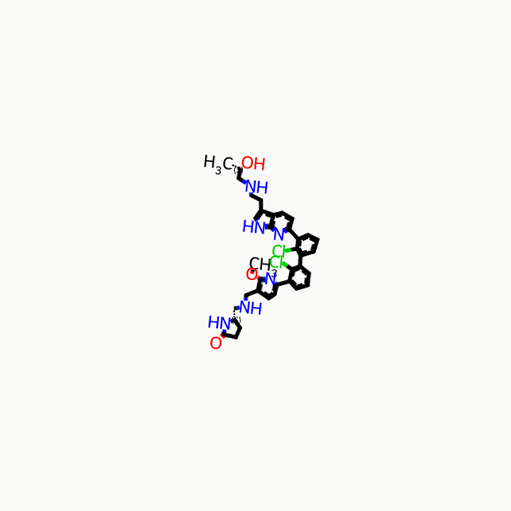 COc1nc(-c2cccc(-c3cccc(-c4ccc5c(CCNC[C@H](C)O)c[nH]c5n4)c3Cl)c2Cl)ccc1CNC[C@@H]1CCC(=O)N1